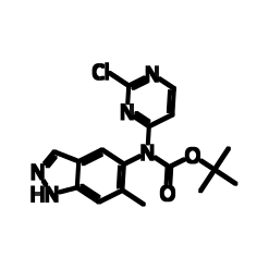 Cc1cc2[nH]ncc2cc1N(C(=O)OC(C)(C)C)c1ccnc(Cl)n1